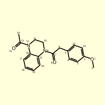 COc1ccc(CC(=O)N2CCN(C(C)=O)c3ccccc32)cc1